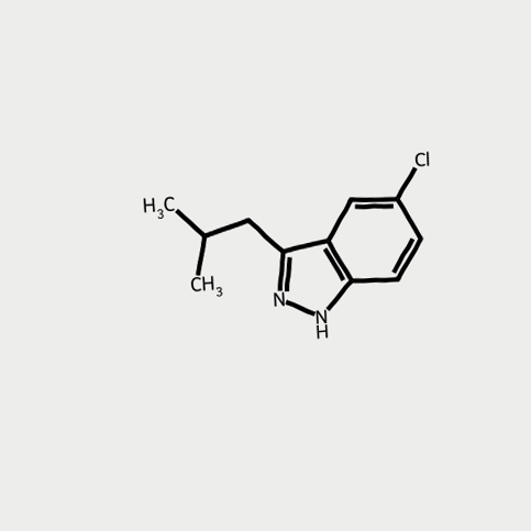 CC(C)Cc1n[nH]c2ccc(Cl)cc12